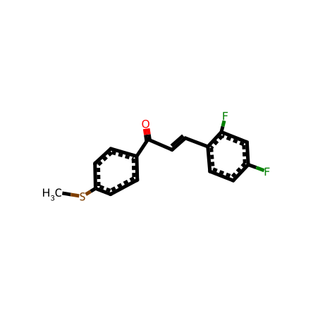 CSc1ccc(C(=O)C=Cc2ccc(F)cc2F)cc1